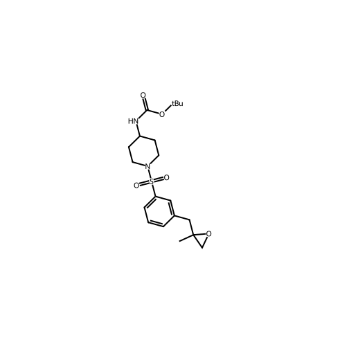 CC(C)(C)OC(=O)NC1CCN(S(=O)(=O)c2cccc(CC3(C)CO3)c2)CC1